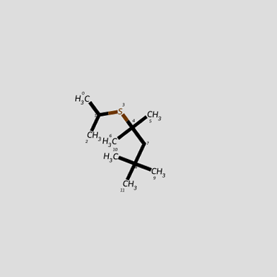 CC(C)SC(C)(C)CC(C)(C)C